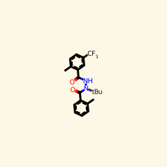 Cc1ccc(C(F)(F)F)cc1C(=O)NN(C(=O)c1ccccc1C)C(C)(C)C